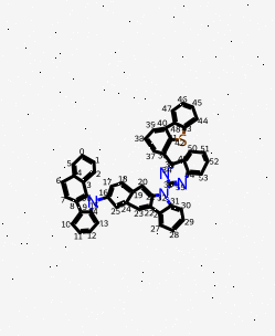 c1ccc2c(c1)ccc1c3ccccc3n(-c3ccc4cc5c(cc4c3)c3ccccc3n5-c3nc(-c4cccc5c4sc4ccccc45)c4ccccc4n3)c21